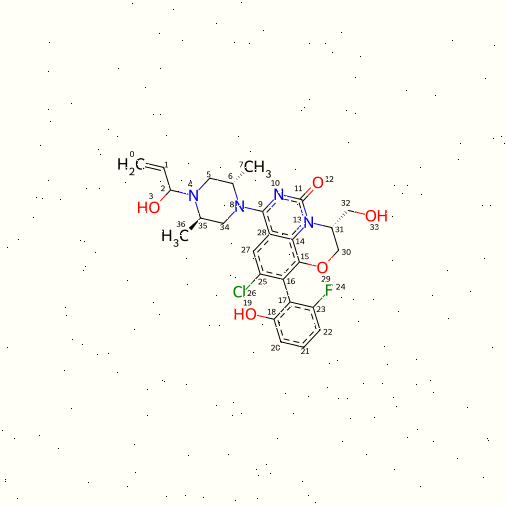 C=CC(O)N1C[C@H](C)N(c2nc(=O)n3c4c(c(-c5c(O)cccc5F)c(Cl)cc24)OC[C@H]3CO)C[C@H]1C